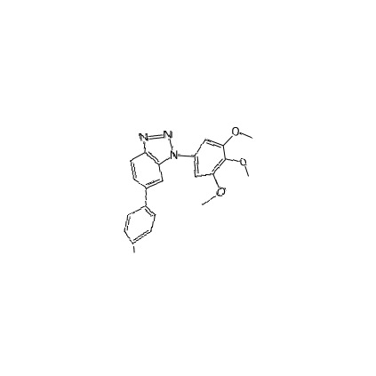 COc1cc(-n2nnc3ccc(-c4ccc(C)cc4)cc32)cc(OC)c1OC